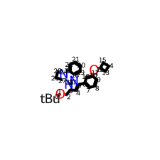 CC(C)(C)OCc1cc(-c2cccc(OC3CCC3)c2)n(-c2ccccc2N2CCC2)n1